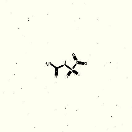 NC(=O)NS(=O)(=O)[SH](=O)=O